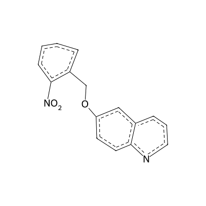 O=[N+]([O-])c1ccccc1COc1ccc2ncccc2c1